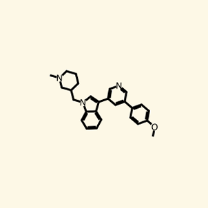 COc1ccc(-c2cncc(-c3cn(CC4CCCN(C)C4)c4ccccc34)c2)cc1